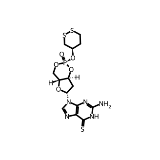 Nc1nc2c(ncn2[C@H]2C[C@@H]3O[P@](=O)(O[C@@H]4CCSSC4)OC[C@H]3O2)c(=S)[nH]1